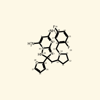 NC1=CC(N)=NC2=NC(CC3CCCN3Cc3cc(F)ccc3F)(c3ccco3)NN12